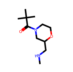 CNCC1CN(C(=O)C(C)(C)C)CCO1